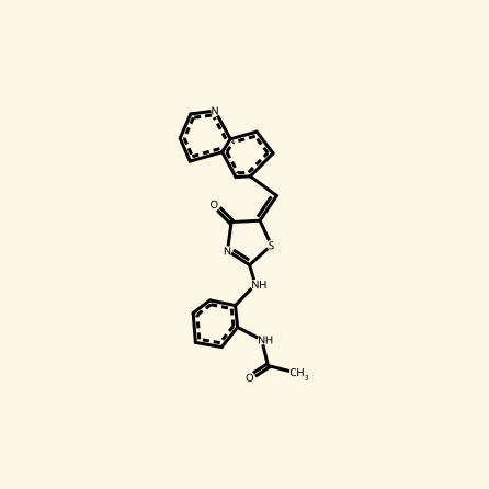 CC(=O)Nc1ccccc1NC1=NC(=O)C(=Cc2ccc3ncccc3c2)S1